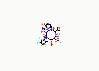 C[C@H]1NC(=O)C(C2COC2)NC(=O)[C@H](C)[C@H](O)[C@H](Cc2c(F)c(F)c(F)c(F)c2F)NC(=O)[C@H]1NC(=O)c1ncccc1O